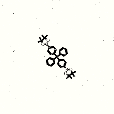 CC1(C)OB(c2ccc(C(c3ccccc3)(c3ccccc3)c3ccc(B4OC(C)(C)C(C)(C)O4)cc3)cc2)OC1(C)C